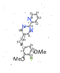 COc1cc([C@@H]2C[C@H]2c2cnc(-c3ccccn3)nc2)cc(OC)c1F